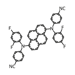 [C-]#[N+]c1ccc(N(c2ccc(F)cc2F)c2ccc3ccc4c(N(c5ccc(C#N)cc5)c5ccc(F)cc5F)ccc5ccc2c3c54)cc1